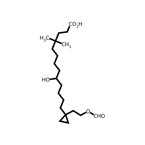 CC(C)(CCCCC(O)CCCCC1(CCOC=O)CC1)CCC(=O)O